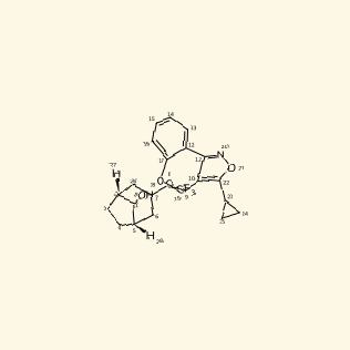 OC1[C@@H]2CC[C@H]1CC(OCc1c(-c3ccccc3OC(F)(F)F)noc1C1CC1)C2